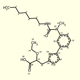 CCCCCCCNC(=O)N(C)c1cccc(-c2csc(CC(OCC)C(=O)O)n2)c1